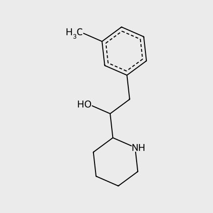 Cc1cccc(CC(O)C2CCCCN2)c1